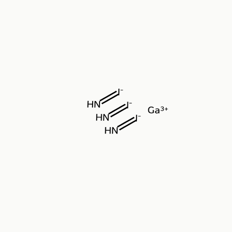 N=[I-].N=[I-].N=[I-].[Ga+3]